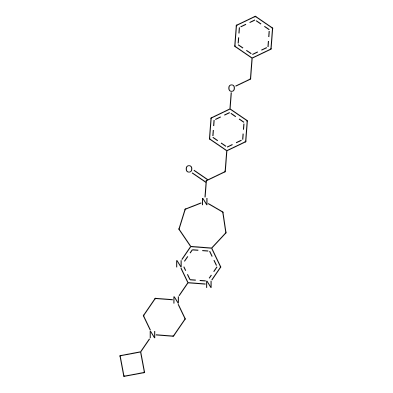 O=C(Cc1ccc(OCc2ccccc2)cc1)N1CCc2cnc(N3CCN(C4CCC4)CC3)nc2CC1